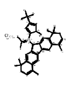 CC1=CCC(C)(C)c2cc3c(cc21)-c1cc2c(cc1[CH]3[Zr+2]([C]1=CC(C(C)(C)C)=CC1C)=[C](C)C)C(C)(C)CC=C2C.[Cl-].[Cl-]